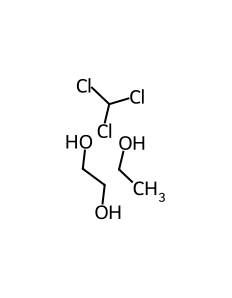 CCO.ClC(Cl)Cl.OCCO